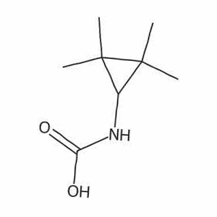 CC1(C)C(NC(=O)O)C1(C)C